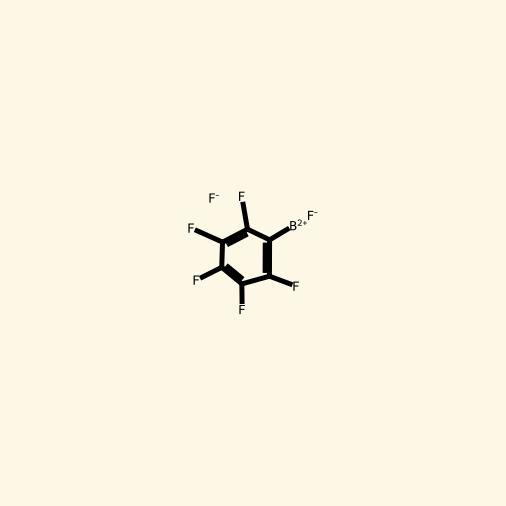 [B+2]c1c(F)c(F)c(F)c(F)c1F.[F-].[F-]